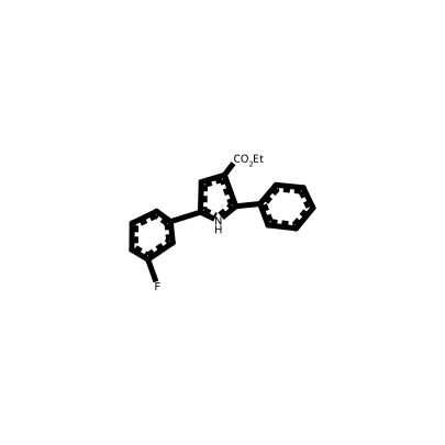 CCOC(=O)c1cc(-c2cccc(F)c2)[nH]c1-c1ccccc1